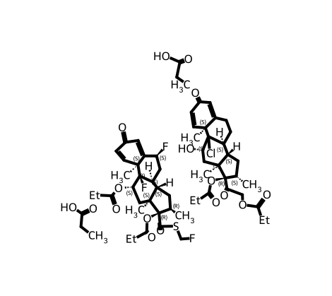 CCC(=O)O.CCC(=O)O.CCC(=O)OCC(=O)[C@@]1(OC(=O)CC)[C@@H](C)C[C@H]2[C@@H]3CCC4=CC(=O)C=C[C@]4(C)C3(Cl)[C@@H](O)C[C@@]21C.CCC(=O)O[C@H]1C[C@@]2(C)[C@@H](C[C@@H](C)[C@]2(OC(=O)CC)C(=O)SCF)[C@@H]2C[C@H](F)C3=CC(=O)C=C[C@]3(C)[C@@]12F